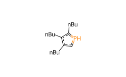 CCCCc1c[pH]c(CCCC)c1CCCC